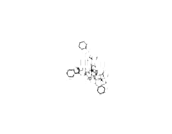 CC(NC(=O)OCc1ccccc1)C(=O)N[C@@H](Cc1csc2ccccc12)C(=O)NC(Cc1ccccc1)C(=O)C1(C)CO1